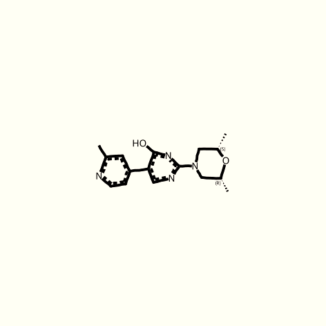 Cc1cc(-c2cnc(N3C[C@@H](C)O[C@@H](C)C3)nc2O)ccn1